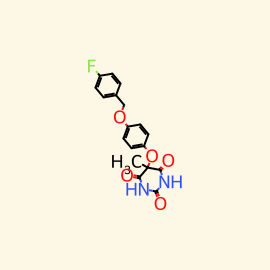 CC1(Oc2ccc(OCc3ccc(F)cc3)cc2)C(=O)NC(=O)NC1=O